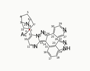 CC(=O)CN1C2CCC1CC(c1ccnc3c(-c4cccc5[nH]ncc45)c(-c4ccncc4)nn13)C2